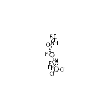 O=C(CSc1ccc(C2=NOC(c3cc(Cl)cc(Cl)c3)(C(F)(F)F)C2)cc1F)NCC(F)(F)F